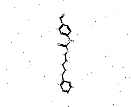 O=Cc1ccc(NC(=O)OCCCCCc2ccccc2)cc1